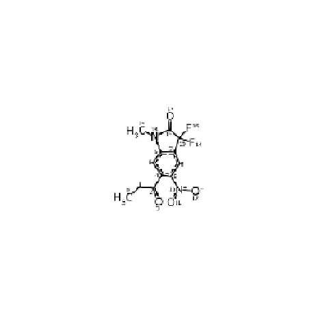 CCC(=O)c1cc2c(cc1[N+](=O)[O-])C(F)(F)C(=O)N2C